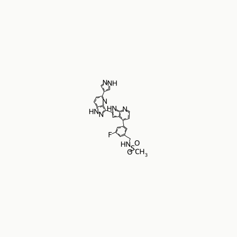 CS(=O)(=O)NCc1cc(F)cc(-c2ccnc3[nH]c(-c4n[nH]c5ccc(-c6cn[nH]c6)nc45)cc23)c1